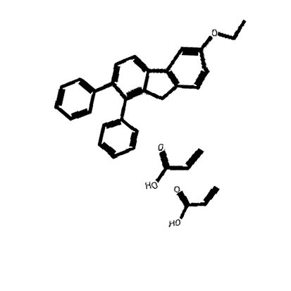 C=CC(=O)O.C=CC(=O)O.CCOc1ccc2c(c1)-c1ccc(-c3ccccc3)c(-c3ccccc3)c1C2